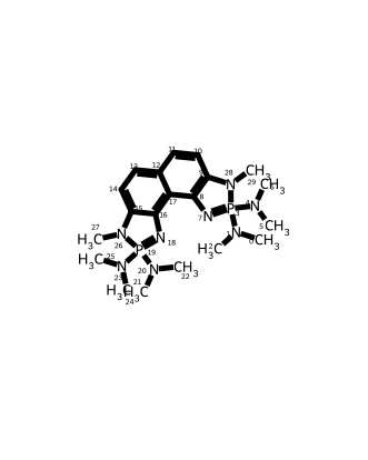 CN(C)P1(N(C)C)=Nc2c(ccc3ccc4c(c23)N=P(N(C)C)(N(C)C)N4C)N1C